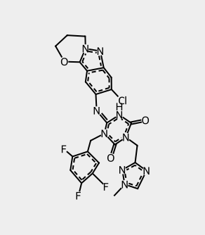 Cn1cnc(Cn2c(=O)[nH]/c(=N\c3cc4c5n(nc4cc3Cl)CCCO5)n(Cc3cc(F)c(F)cc3F)c2=O)n1